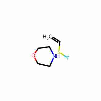 C1COCCN1.C=CSF